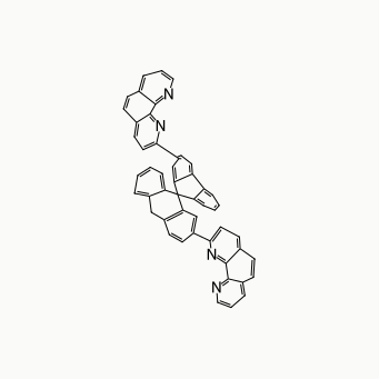 c1ccc2c(c1)Cc1ccc(-c3ccc4ccc5cccnc5c4n3)cc1C21c2ccccc2-c2ccc(-c3ccc4ccc5cccnc5c4n3)cc21